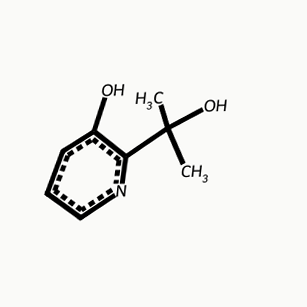 CC(C)(O)c1ncccc1O